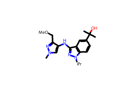 COCc1nn(C)cc1Nc1nn(C(C)C)c2ccc(C(C)(C)O)cc12